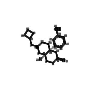 O=C1CC[C@H]2CN(CC3CCC3)CC[C@@]2(c2cccc(O)c2)C1